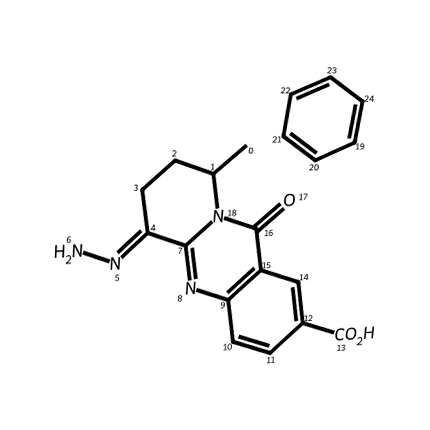 CC1CCC(=NN)c2nc3ccc(C(=O)O)cc3c(=O)n21.c1ccccc1